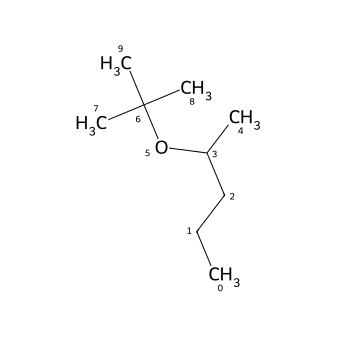 CCCC(C)OC(C)(C)C